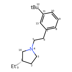 CC[C@H]1CCN(CCc2cccc(C(C)(C)C)c2)C1